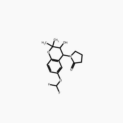 CC1(C)Oc2ccc(OC(F)F)cc2C(N2CCCC2=O)C1O